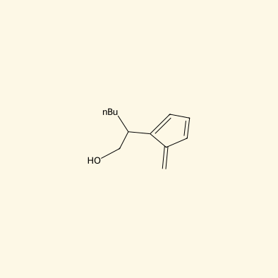 C=C1C=CC=C1C(CO)CCCC